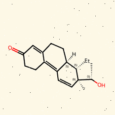 CC[C@H]1[C@@H]2CCC3=CC(=O)CCC3=C2C=C[C@]1(C)[C@H](C)O